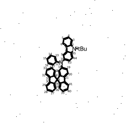 CC(C)(C)n1c2ccccc2c2cc(N(c3ccccc3)c3ccc4c(c3)C3(c5ccccc5-c5ccccc53)c3ccccc3-4)ccc21